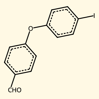 O=Cc1ccc(Oc2ccc(I)cc2)cc1